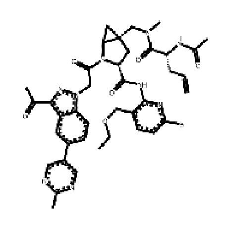 C=CC[C@@H](NC(C)=O)C(=O)N(C)C[C@]12CC1N(C(=O)Cn1nc(C(C)=O)c3cc(-c4cnc(C)nc4)ccc31)[C@H](C(=O)Nc1nc(Br)ccc1COCC)C2